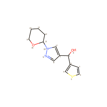 OC(c1ccsc1)c1cnn(C2CCCCO2)c1